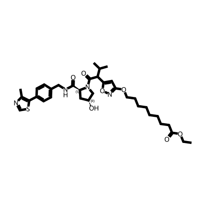 CCOC(=O)CCCCCCCCOc1cc(C(C(=O)N2C[C@H](O)C[C@H]2C(=O)NCc2ccc(-c3scnc3C)cc2)C(C)C)on1